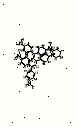 CN(C)c1ccc(C(=CC(C=C(c2ccc(N(C)C)cc2)c2ccc(N(C)C)cc2)c2ccc(N3CCCCC3)cc2)c2ccc(N(C)C)cc2)cc1